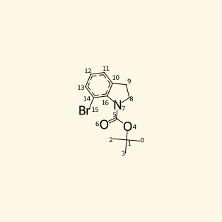 CC(C)(C)OC(=O)N1CCc2cccc(Br)c21